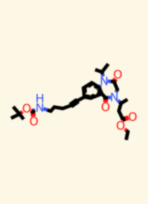 CCOC(=O)CC(C)N1CC(=O)N(C(C)C)c2ccc(C#CCCCNC(=O)OC(C)(C)C)cc2C1=O